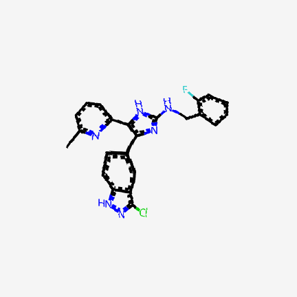 Cc1cccc(-c2[nH]c(NCc3ccccc3F)nc2-c2ccc3[nH]nc(Cl)c3c2)n1